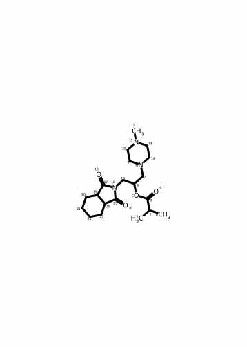 CC(C)C(=O)OC(CN1CCN(C)CC1)CN1C(=O)C2CCCCC2C1=O